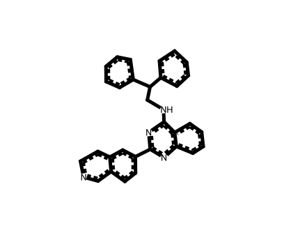 c1ccc(C(CNc2nc(-c3ccc4cnccc4c3)nc3ccccc23)c2ccccc2)cc1